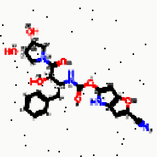 N#Cc1cc2[nH]c(OC(=O)N[C@@H](Cc3ccccc3)[C@@H](O)C(=O)N3C[C@@H](O)[C@@H](O)C3)cc2o1